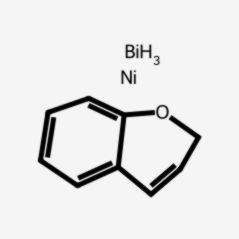 C1=Cc2ccccc2OC1.[BiH3].[Ni]